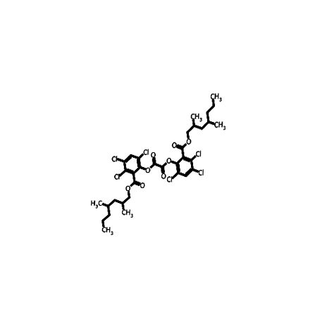 CCCC(C)CC(C)COC(=O)c1c(Cl)c(Cl)cc(Cl)c1OC(=O)C(=O)Oc1c(Cl)cc(Cl)c(Cl)c1C(=O)OCC(C)CC(C)CCC